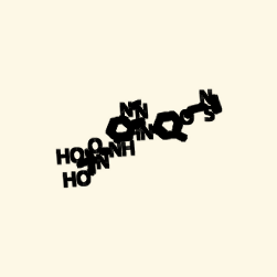 Cc1cc(Nc2ncnc3ccc(NC4=NC(CO)(CO)CO4)cc23)ccc1OCc1nccs1